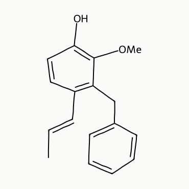 CC=Cc1ccc(O)c(OC)c1Cc1ccccc1